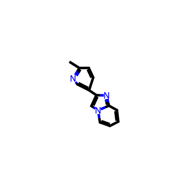 Cc1ccc(-c2cn3ccccc3n2)cn1